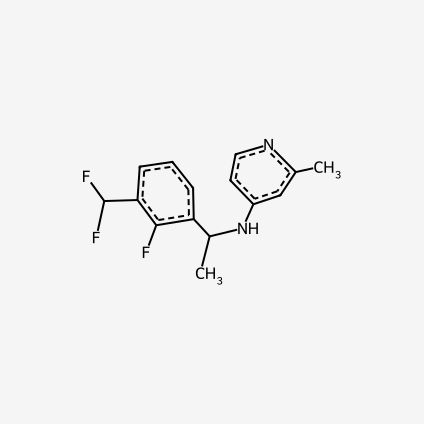 Cc1cc(NC(C)c2cccc(C(F)F)c2F)ccn1